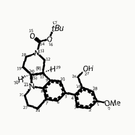 COc1ccc(-c2cc3c4c(c2)[C@@H]2CN(C(=O)OC(C)(C)C)CC[C@@H]2N4CCC3)c(CO)c1